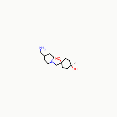 C[C@]1(O)CC[C@](O)(CN2CCC(CN)CC2)CC1